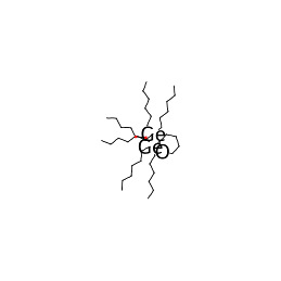 CCCCC[CH2][Ge]([CH2]CCCCC)([CH2]CCCCC)[C]1([Ge]([CH2]CCCCC)([CH2]CCCCC)[CH2]CCCCC)CCCCO1